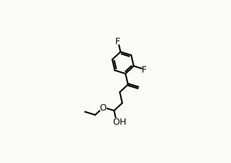 C=C(CCC(O)OCC)c1ccc(F)cc1F